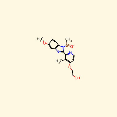 COc1ccc2c(c1)nc(-c1nccc(OCCO)c1C)n2[S+](C)[O-]